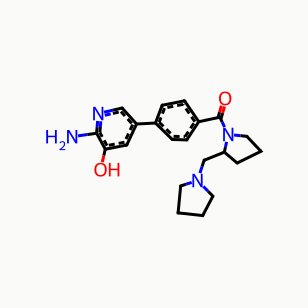 Nc1ncc(-c2ccc(C(=O)N3CCCC3CN3CCCC3)cc2)cc1O